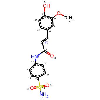 COc1cc(/C=C/C(=O)Nc2ccc(S(N)(=O)=O)cc2)ccc1O